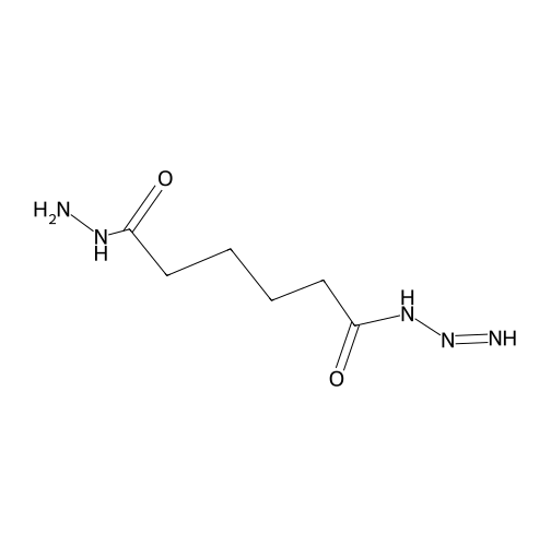 N=NNC(=O)CCCCC(=O)NN